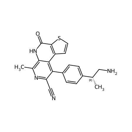 Cc1nc(C#N)c(-c2ccc([C@@H](C)CN)cc2)c2c1[nH]c(=O)c1sccc12